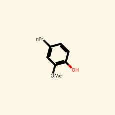 [CH2]CCc1ccc(O)c(OC)c1